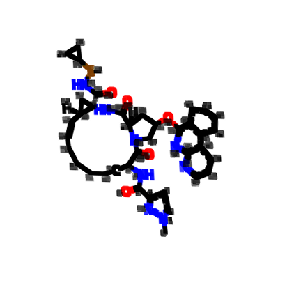 Cn1ccc(C(=O)N[C@H]2CCCCC/C=C\[C@@H]3C[C@@]3(C(=O)NSC3CC3)NC(=O)[C@@H]3C[C@@H](Oc4nc5ncccc5c5ccccc45)CN3C2=O)n1